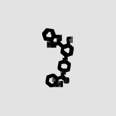 O=C([C@@H]1CCCCN1)N1CCN(c2ccc(Cl)c(-c3nc4ccccc4[nH]3)c2)CC1